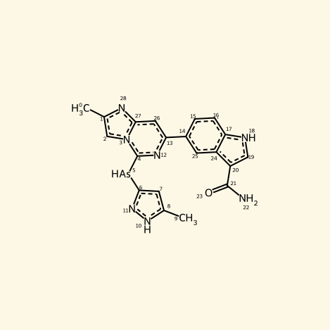 Cc1cn2c([AsH]c3cc(C)[nH]n3)nc(-c3c[c]c4[nH]cc(C(N)=O)c4c3)cc2n1